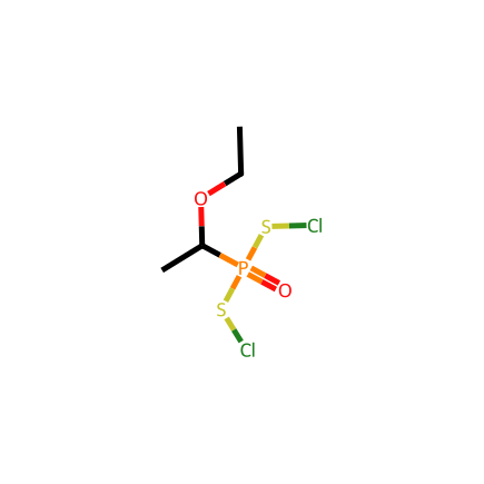 CCOC(C)P(=O)(SCl)SCl